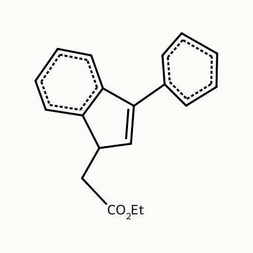 CCOC(=O)CC1C=C(c2ccccc2)c2ccccc21